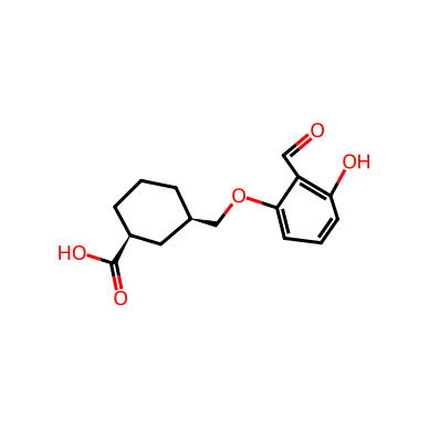 O=Cc1c(O)cccc1OC[C@@H]1CCC[C@H](C(=O)O)C1